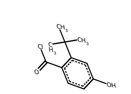 CC(C)(C)c1cc(O)ccc1C(=O)Cl